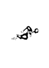 NC(Cc1ccc(-n2c(=O)n(C3CCOCC3)c3cccc(Cl)c32)cc1)C(=O)O